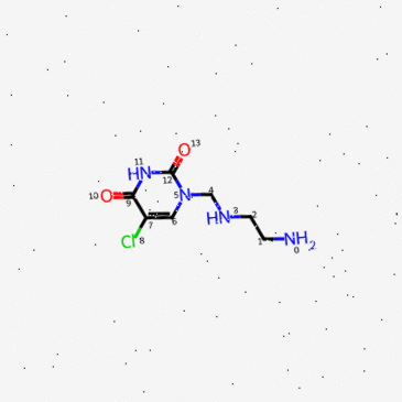 NCCNCn1cc(Cl)c(=O)[nH]c1=O